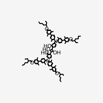 CCCCC(CC)COc1cc(C)c(-c2ccc(N(c3ccc(C4C(O)C(c5ccc(N(c6ccc(-c7c(C)cc(OCC(CC)CCCC)cc7C)cc6C)c6ccc(-c7c(C)cc(OCC(CC)CCCC)cc7C)cc6C)cc5O)C4O)c(O)c3)c3ccc(-c4c(C)cc(OCC(CC)CCCC)cc4C)cc3C)c(C)c2)c(C)c1